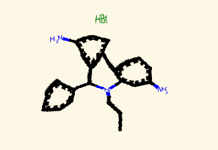 Br.CCCN1c2cc(N)ccc2-c2ccc(N)cc2C1c1ccccc1